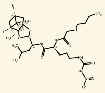 CCCCOCC(=O)N[C@@H](CCCNC(=N)N[N+](=O)[O-])C(=O)N[C@@H](CC(C)C)B1O[C@@H]2C[C@@H]3C[C@@H](C3(C)C)[C@]2(C)O1